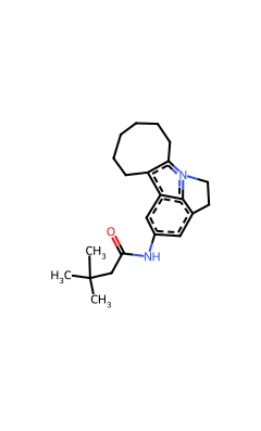 CC(C)(C)CC(=O)Nc1cc2c3c(c1)c1c(n3CC2)CCCCCC1